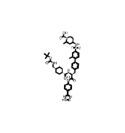 Cc1cc(S(=O)(=O)NC2CCN(C(=O)O)C(C)C2)ccc1-c1ccc(C[C@H](NC(=O)[C@H]2CC[C@H](CNC(=O)OC(C)(C)C)CC2)C(=O)Nc2ccc(-c3nn[nH]n3)cc2)cc1